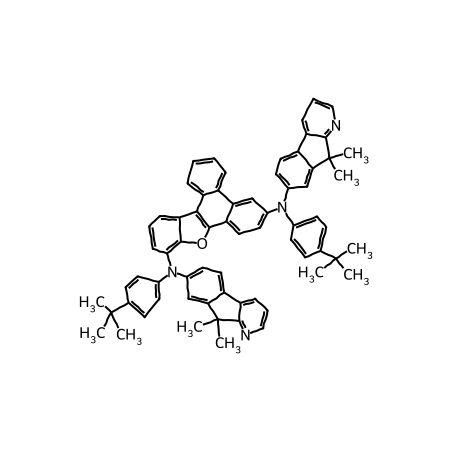 CC(C)(C)c1ccc(N(c2ccc3c(c2)C(C)(C)c2ncccc2-3)c2ccc3c(c2)c2ccccc2c2c4cccc(N(c5ccc(C(C)(C)C)cc5)c5ccc6c(c5)C(C)(C)c5ncccc5-6)c4oc32)cc1